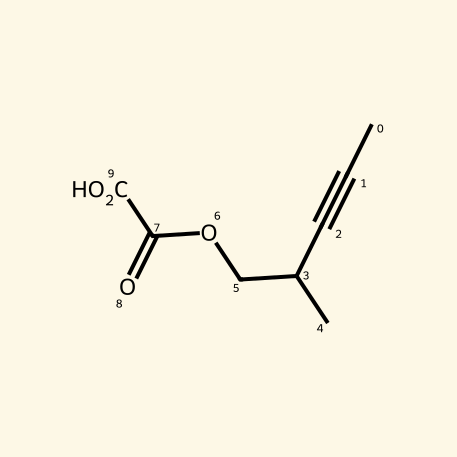 CC#CC(C)COC(=O)C(=O)O